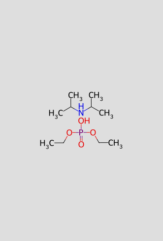 CC(C)NC(C)C.CCOP(=O)(O)OCC